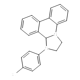 CCc1ccc(N2CCN3c4ccccc4-c4ccccc4C23)cc1